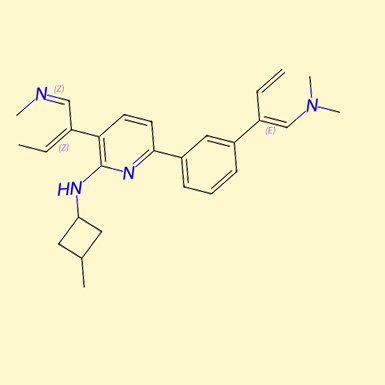 C=C/C(=C\N(C)C)c1cccc(-c2ccc(C(/C=N\C)=C/C)c(NC3CC(C)C3)n2)c1